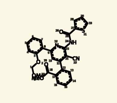 COCOc1ccccc1-c1cc(-c2ccccc2C(=O)OC)c(C#N)c(NC(=O)c2cccs2)n1